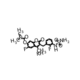 Cc1c(Cc2cccc(NS(N)(=O)=O)c2F)c(=O)oc2cc(OC(=O)N(C)C)c(F)cc12.[KH]